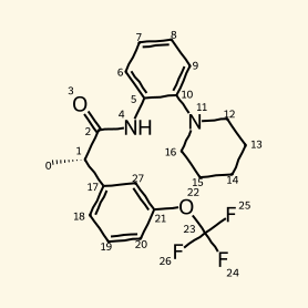 C[C@H](C(=O)Nc1ccccc1N1CCCCC1)c1cccc(OC(F)(F)F)c1